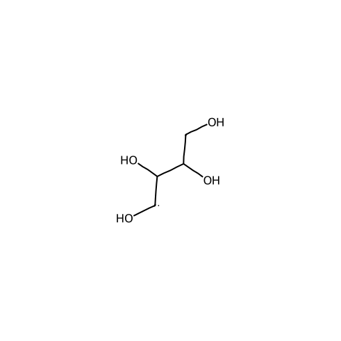 O[CH]C(O)C(O)CO